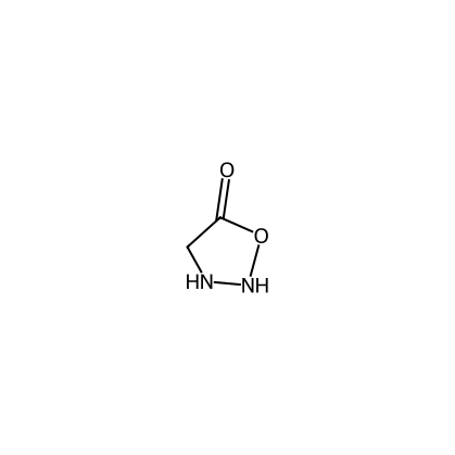 O=C1CNNO1